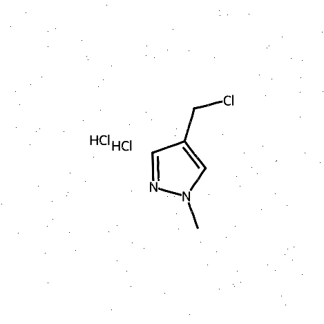 Cl.Cl.Cn1cc(CCl)cn1